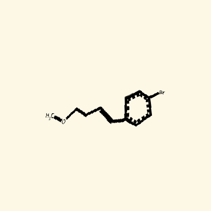 COCC/C=C/c1ccc(Br)cc1